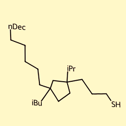 CCCCCCCCCCCCCCCC1(C(C)CC)CCC(CCCS)(C(C)C)C1